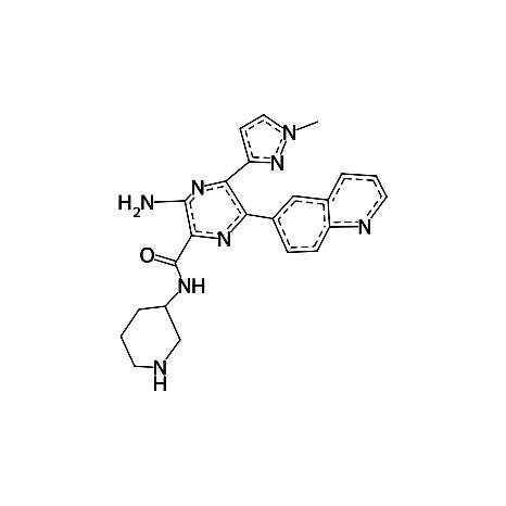 Cn1ccc(-c2nc(N)c(C(=O)NC3CCCNC3)nc2-c2ccc3ncccc3c2)n1